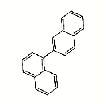 [c]1ccc2ccccc2c1-c1ccc2ccccc2c1